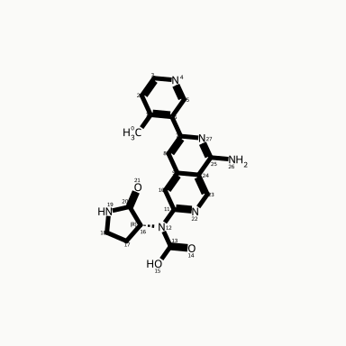 Cc1ccncc1-c1cc2cc(N(C(=O)O)[C@@H]3CCNC3=O)ncc2c(N)n1